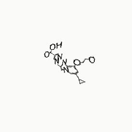 COCCOc1cc(C2CC2)cn2cc(Cn3cc(C(=O)O)cn3)nc12